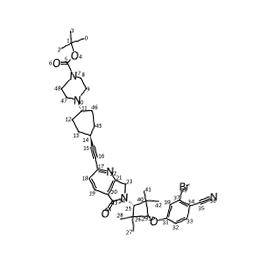 CC(C)(C)OC(=O)N1CCN([C@H]2CC[C@H](C#Cc3ccc4c(n3)CN([C@H]3C(C)(C)[C@H](Oc5ccc(C#N)c(Br)c5)C3(C)C)C4=O)CC2)CC1